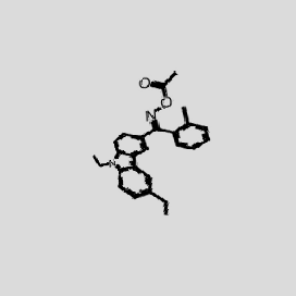 CCc1ccc2c(c1)c1cc(C(=NOC(C)=O)c3ccccc3C)ccc1n2CC